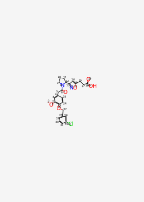 COc1cc(CC(=O)N2CCCC2c2cc(CCC(=O)O)on2)ccc1OCc1cccc(Cl)c1